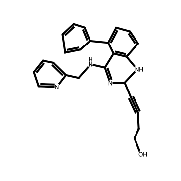 OCCC#CC1N=C(NCc2ccccn2)c2c(cccc2-c2ccccc2)N1